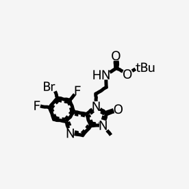 Cn1c(=O)n(CCNC(=O)OC(C)(C)C)c2c3c(F)c(Br)c(F)cc3ncc21